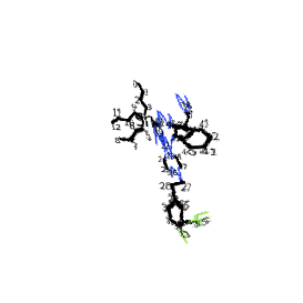 CCC[CH2][Sn]([CH2]CCC)([CH2]CCC)[c]1nc2c(C#N)c3c(c-2n(N2CCN(CCc4ccc(F)c(F)c4)CC2)n1)CCCC3